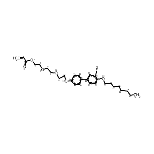 C=CC(=O)OCCOCCOCCOc1ccc(-c2ccc(OCCCCCCCC)c(F)c2)cc1